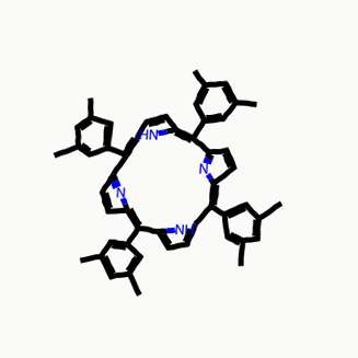 Cc1cc(C)cc(-c2c3nc(c(-c4cc(C)cc(C)c4)c4ccc([nH]4)c(-c4cc(C)cc(C)c4)c4nc(c(-c5cc(C)cc(C)c5)c5ccc2[nH]5)C=C4)C=C3)c1